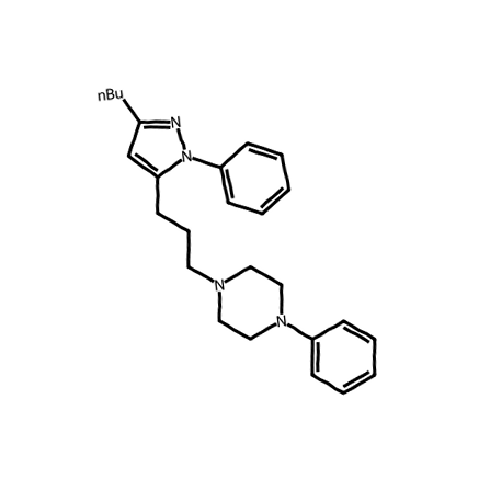 CCCCc1cc(CCCN2CCN(c3ccccc3)CC2)n(-c2ccccc2)n1